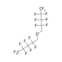 FC(F)(F)C(F)(F)C(F)(F)C(F)(F)COCC(F)(F)C(F)(F)C(F)(F)C(F)(F)F